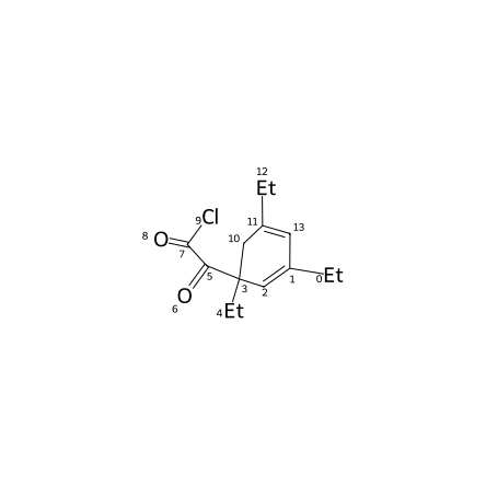 CCC1=CC(CC)(C(=O)C(=O)Cl)CC(CC)=C1